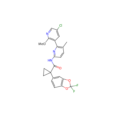 COc1ncc(Cl)cc1-c1nc(NC(=O)C2(c3ccc4c(c3)OC(F)(F)O4)CC2)ccc1C